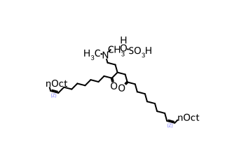 CCCCCCCC/C=C\CCCCCCCC(=O)CC(CCN(C)C)C(=O)CCCCCCC/C=C\CCCCCCCC.O=S(=O)(O)O